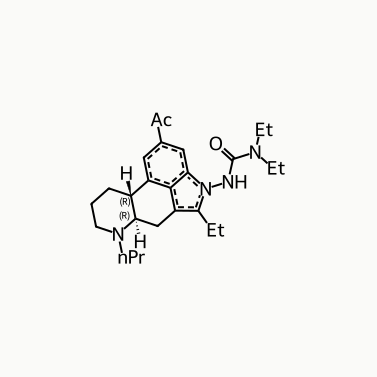 CCCN1CCC[C@@H]2c3cc(C(C)=O)cc4c3c(c(CC)n4NC(=O)N(CC)CC)C[C@H]21